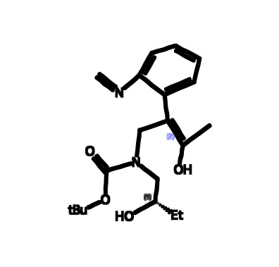 C=Nc1ccccc1/C(CN(C[C@@H](O)CC)C(=O)OC(C)(C)C)=C(\C)O